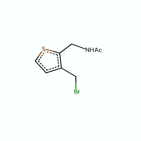 CC(=O)NCc1sccc1CBr